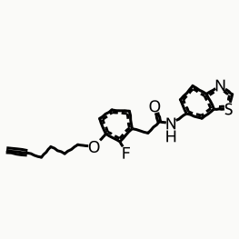 C#CCCCCOc1cccc(CC(=O)Nc2ccc3ncsc3c2)c1F